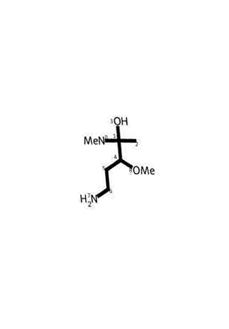 CNC(C)(O)C(CCN)OC